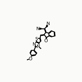 COc1ccc(-c2nc3sc(/C=C4\C(=O)c5ccccc5C4=C(C#N)C#N)cc3n2C)cc1